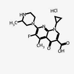 Cc1c(F)c(N2CCNC(C)C2)nc2c1c(=O)c(C(=O)O)cn2C1CC1.Cl